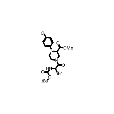 COC(=O)C1CN(C(=O)C(NC(=O)OC(C)(C)C)C(C)C)CCN1c1ccc(Cl)cc1